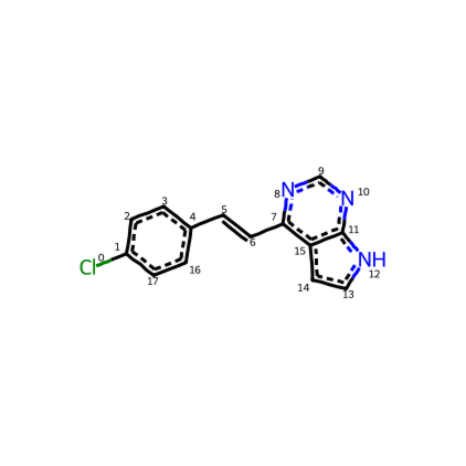 Clc1ccc(C=Cc2ncnc3[nH]ccc23)cc1